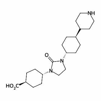 O=C1N([C@H]2CC[C@H](C(=O)O)CC2)CCN1[C@H]1CC[C@H](C2CCNCC2)CC1